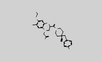 CCOc1cc2c(cc1Cl)N(CC(=O)OC)CC(C(=O)N1CCC(C#N)(Cc3ccc(F)cc3)CC1)O2